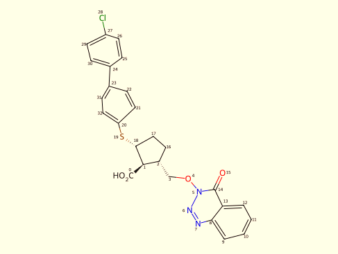 O=C(O)[C@@H]1[C@@H](COn2nnc3ccccc3c2=O)CC[C@H]1Sc1ccc(-c2ccc(Cl)cc2)cc1